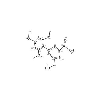 COc1cc(OC)c(-c2cc(CO)nc(C(=O)O)c2)c(OC)c1